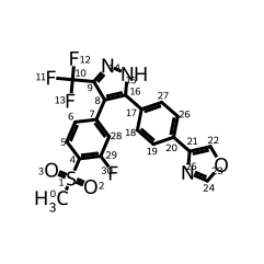 CS(=O)(=O)c1ccc(-c2c(C(F)(F)F)n[nH]c2-c2ccc(-c3cocn3)cc2)cc1F